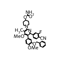 COc1ccc(-c2c(-c3ccc(C#N)c(F)c3)nc(N3CCC(OC(N)=O)CC3)c(C)c2OC)cc1OCc1ccccc1